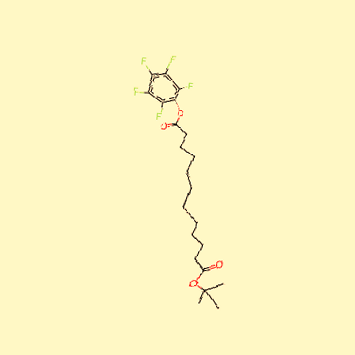 CC(C)(C)OC(=O)CCCCCCCCCCC(=O)Oc1c(F)c(F)c(F)c(F)c1F